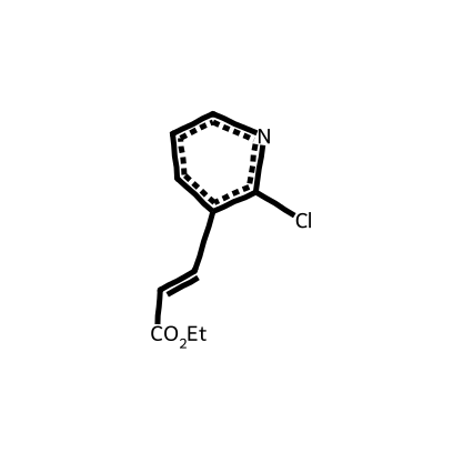 CCOC(=O)C=Cc1cccnc1Cl